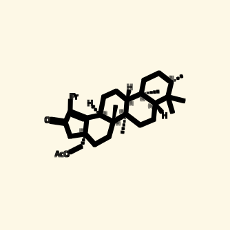 CC(=O)OC[C@@]12CC[C@]3(C)[C@H](CC[C@@H]4[C@@]5(C)CC[C@H](C)C(C)(C)[C@@H]5CC[C@]43C)C1=C(C(C)C)C(=O)C2